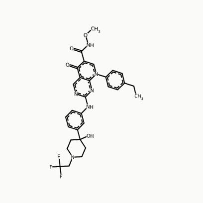 CCc1ccc(-n2cc(C(=O)NOC)c(=O)c3cnc(Nc4cccc(C5(O)CCN(CC(F)(F)F)CC5)c4)nc32)cc1